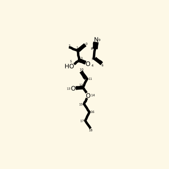 C=C(C)C(=O)O.C=CC#N.C=CC(=O)OCCCC